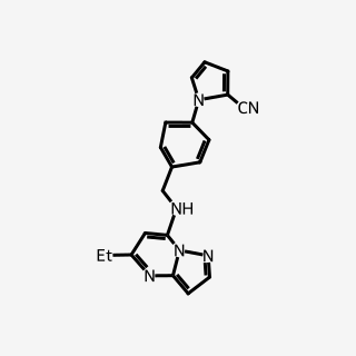 CCc1cc(NCc2ccc(-n3cccc3C#N)cc2)n2nccc2n1